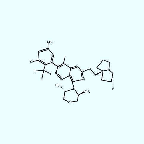 C[C@H]1COC[C@H](C)N1c1nc(OC[C@@]23CCCN2C[C@H](F)C3)nc2c(F)c(-c3cc(N)cc(Cl)c3C(F)(F)F)ncc12